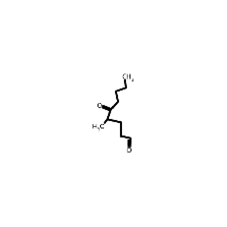 CCCCC(=O)C(C)CCC=O